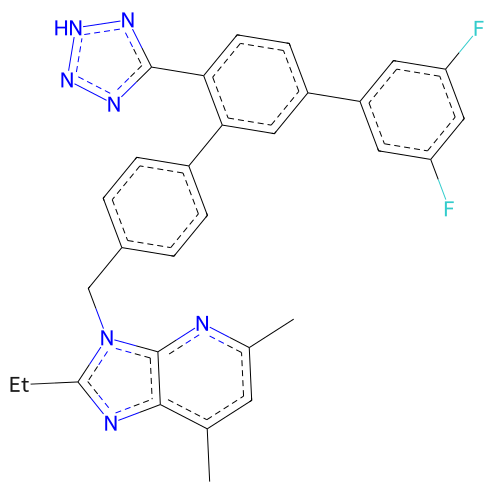 CCc1nc2c(C)cc(C)nc2n1Cc1ccc(-c2cc(-c3cc(F)cc(F)c3)ccc2-c2nn[nH]n2)cc1